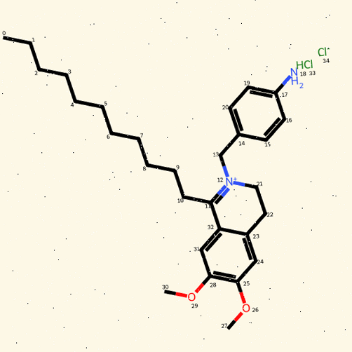 CCCCCCCCCCCC1=[N+](Cc2ccc(N)cc2)CCc2cc(OC)c(OC)cc21.Cl.[Cl-]